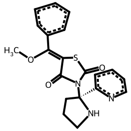 COC(=C1SC(=O)N([C@]2(c3ccccn3)CCCN2)C1=O)c1ccccc1